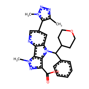 Cc1nnn(C)c1-c1cnc2c3c(c(C(=O)O)nn3C)n(C(c3ccccc3)C3CCOCC3)c2c1